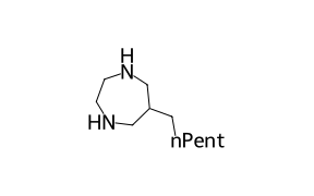 CCCCCCC1CNCCNC1